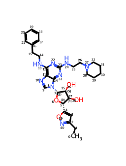 CCc1cc([C@@H]2O[C@H](n3cnc4c(NCCc5ccccc5)nc(NCCN5CCCCC5)nc43)[C@@H](O)[C@H]2O)on1